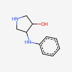 OC1CNCC1Nc1ccccc1